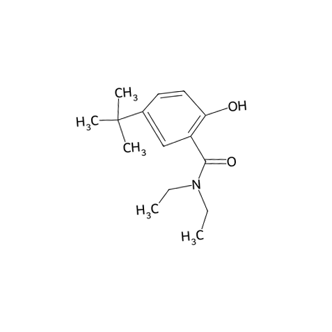 CCN(CC)C(=O)c1cc(C(C)(C)C)ccc1O